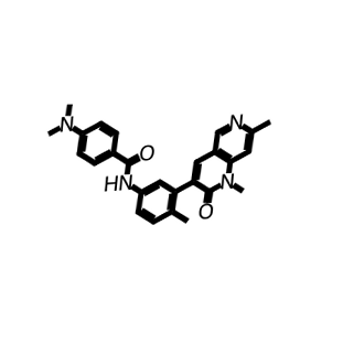 Cc1cc2c(cn1)cc(-c1cc(NC(=O)c3ccc(N(C)C)cc3)ccc1C)c(=O)n2C